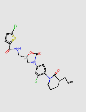 C=CCC1CCCN(c2ccc(N3C[C@H](CNC(=O)c4ccc(Cl)s4)OC3=O)cc2Cl)C1=O